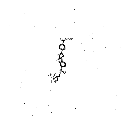 CNC(=O)c1ccc(-c2cn3c(n2)sc2cc(C(=O)NCC4(C)CNC4)ccc23)cc1